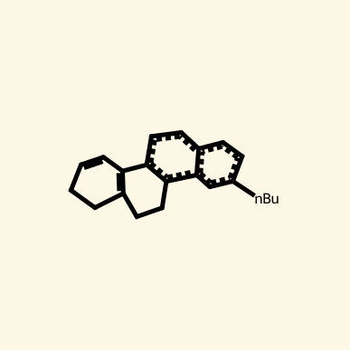 CCCCc1ccc2ccc3c(c2c1)CCC1=C3C=CCC1